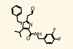 CC(C)c1c(C(=O)NCc2ccc(F)c(F)c2)nc(CC=O)n1Cc1ccccc1